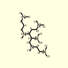 CN(C)CCCN(C)C(CCN(C)C)C(CN(C)CCN(C)C)N(C)C